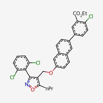 CCCc1onc(-c2c(Cl)cccc2Cl)c1COc1ccc2cc(-c3ccc(Cl)c(C(=O)OCC)c3)ccc2c1